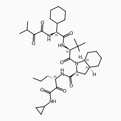 CCC[C@H](NC(=O)[C@@H]1C[C@@H]2CCCC[C@@H]2N1C(=O)[C@@H](NC(=O)[C@@H](NC(=O)C(=O)C(C)C)C1CCCCC1)C(C)(C)C)C(=O)C(=O)NC1CC1